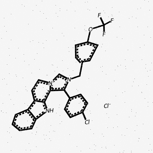 FC(F)(F)Oc1ccc(Cn2c[n+]3ccc4c5ccccc5[nH]c4c3c2-c2ccc(Cl)cc2)cc1.[Cl-]